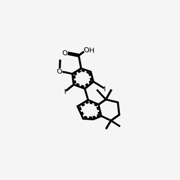 COc1c(C(=O)O)cc(I)c(-c2cccc3c2C(C)(C)CCC3(C)C)c1I